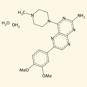 COc1ccc(-c2cnc3nc(N)nc(N4CCN(C)CC4)c3n2)cc1OC.O.O